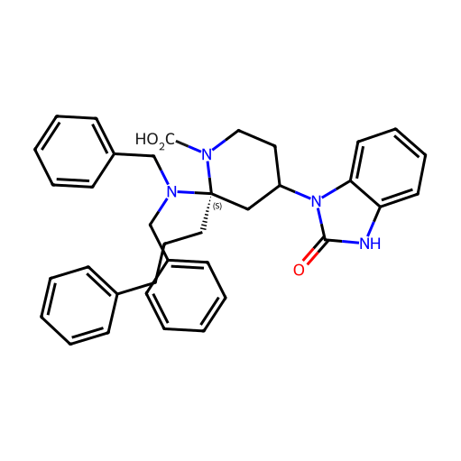 O=C(O)N1CCC(n2c(=O)[nH]c3ccccc32)C[C@@]1(CCCc1ccccc1)N(Cc1ccccc1)Cc1ccccc1